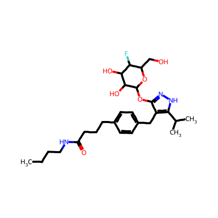 CCCCNC(=O)CCCc1ccc(Cc2c(OC3OC(CO)C(F)C(O)C3O)n[nH]c2C(C)C)cc1